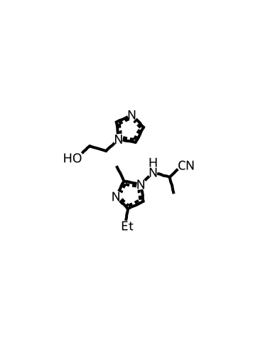 CCc1cn(NC(C)C#N)c(C)n1.OCCn1ccnc1